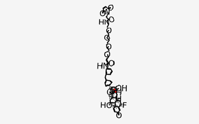 C[C@]12C=CC(=O)C=C1[C@@H](F)C[C@@H]1C2[C@@H](O)C[C@@]2(C)C1C[C@H]1O[C@@H](c3ccc(Cc4cccc(NC(=O)CCOCCOCCOCCOCCNC(=O)CCN5C(=O)C=CC5=O)c4)cc3)O[C@]12C(=O)CO